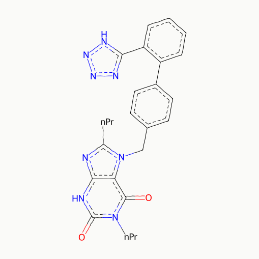 CCCc1nc2[nH]c(=O)n(CCC)c(=O)c2n1Cc1ccc(-c2ccccc2-c2nnn[nH]2)cc1